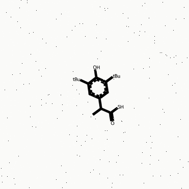 CC(C(=O)S)c1cc(C(C)(C)C)c(O)c(C(C)(C)C)c1